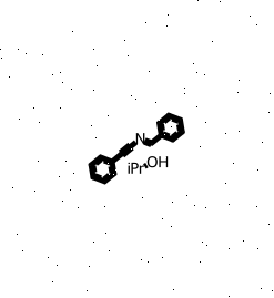 C(#Cc1ccccc1)N=Cc1ccccc1.CC(C)O